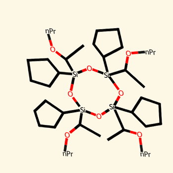 CCCOC(C)[Si]1(C2CCCC2)O[Si](C2CCCC2)(C(C)OCCC)O[Si](C2CCCC2)(C(C)OCCC)O[Si](C2CCCC2)(C(C)OCCC)O1